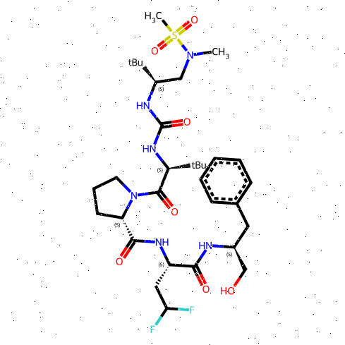 CN(C[C@@H](NC(=O)N[C@H](C(=O)N1CCC[C@H]1C(=O)N[C@@H](CC(F)F)C(=O)N[C@H](CO)Cc1ccccc1)C(C)(C)C)C(C)(C)C)S(C)(=O)=O